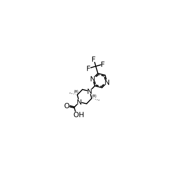 C[C@@H]1CN(c2cncc(C(F)(F)F)n2)[C@H](C)CN1C(=O)O